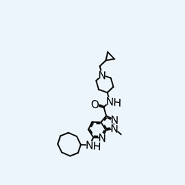 Cn1nc(C(=O)NC2CCN(CC3CC3)CC2)c2ccc(NC3CCCCCCC3)nc21